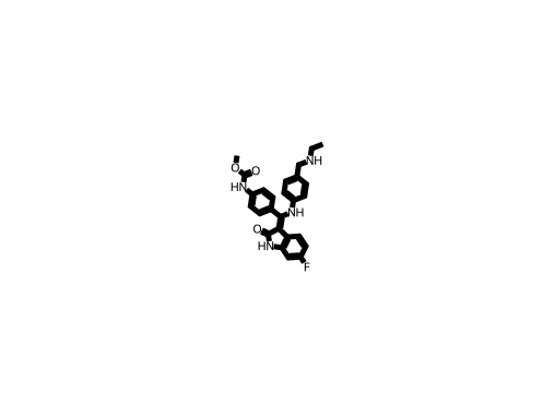 CCNCc1ccc(NC(=C2C(=O)Nc3cc(F)ccc32)c2ccc(NC(=O)OC)cc2)cc1